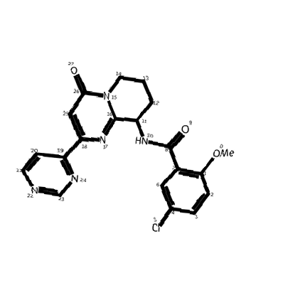 COc1ccc(Cl)cc1C(=O)NC1CCCn2c1nc(-c1ccncn1)cc2=O